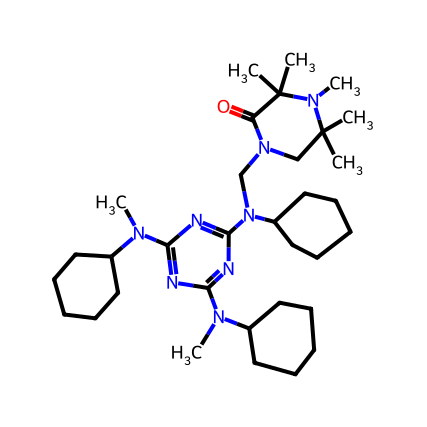 CN(c1nc(N(C)C2CCCCC2)nc(N(CN2CC(C)(C)N(C)C(C)(C)C2=O)C2CCCCC2)n1)C1CCCCC1